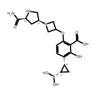 NC(=O)[C@@H]1C[C@H](N2CC(Oc3ccc([C@@H]4C[C@@H]4B(O)O)c(O)c3C(=O)O)C2)CN1